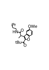 COc1ccc2oc(C(=O)C(C)(C)C)c(C(C)C(=O)NCCC(C)C)c2c1